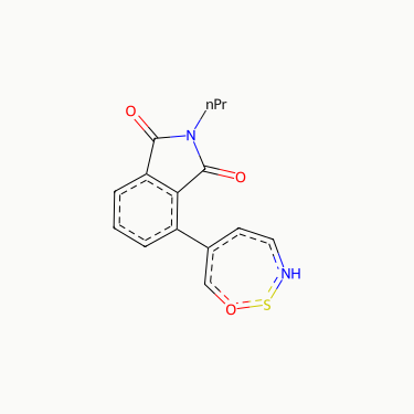 CCCN1C(=O)c2cccc(-c3cc[nH]soc3)c2C1=O